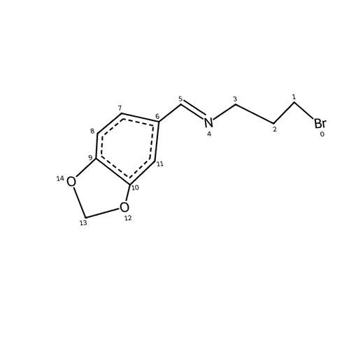 BrCCCN=Cc1ccc2c(c1)OCO2